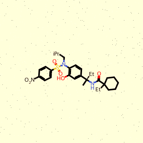 CCC1(C(=O)N[C@@](C)(CC)c2ccc(N(CC(C)C)S(=O)(=O)c3ccc([N+](=O)[O-])cc3)c(O)c2)CCCCC1